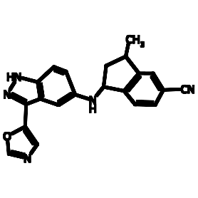 CC1CC(Nc2ccc3[nH]nc(-c4cnco4)c3c2)c2ccc(C#N)cc21